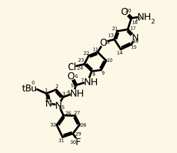 CC(C)(C)c1cc(NC(=O)Nc2ccc(Oc3ccnc(C(N)=O)c3)cc2Cl)n(-c2ccc(F)cc2)n1